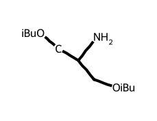 CC(C)COCC(N)COCC(C)C